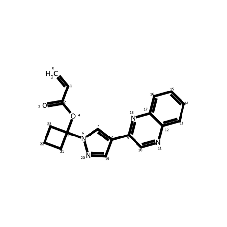 C=CC(=O)OC1(n2cc(-c3cnc4ccccc4n3)cn2)CCC1